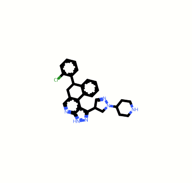 Clc1ccccc1C1Cc2cnc3[nH]nc(C4C=NN(C5CCNCC5)C4)c3c2-c2ccccc21